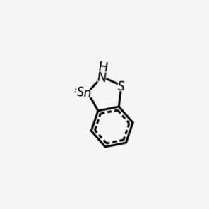 c1cc[c]2c(c1)S[NH][Sn]2